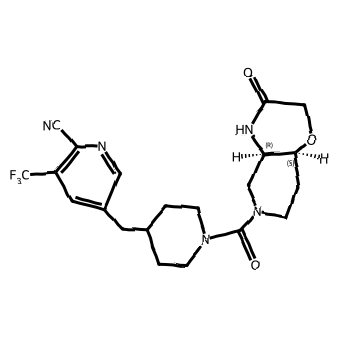 N#Cc1ncc(CC2CCN(C(=O)N3CC[C@@H]4OCC(=O)N[C@@H]4C3)CC2)cc1C(F)(F)F